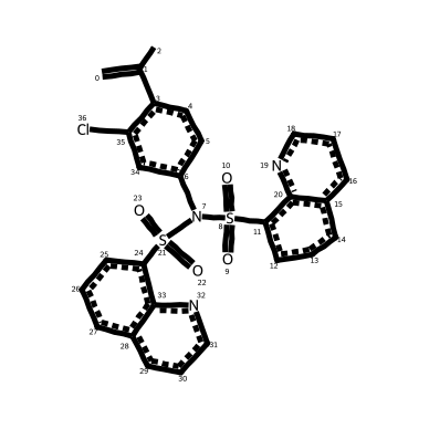 C=C(C)c1ccc(N(S(=O)(=O)c2cccc3cccnc23)S(=O)(=O)c2cccc3cccnc23)cc1Cl